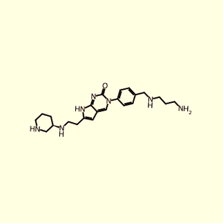 NCCCNCc1ccc(-n2cc3cc(CCN[C@@H]4CCCNC4)[nH]c3nc2=O)cc1